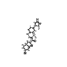 Cc1n[nH]cc1-c1ccc2c(c1)C(C)N(C(=O)c1cc3ccc(Br)cn3n1)CC2